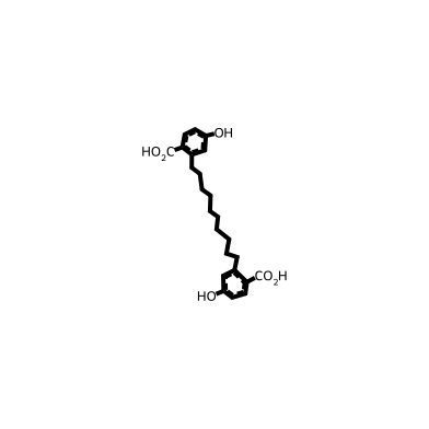 O=C(O)c1ccc(O)cc1CCCCCCCCCCc1cc(O)ccc1C(=O)O